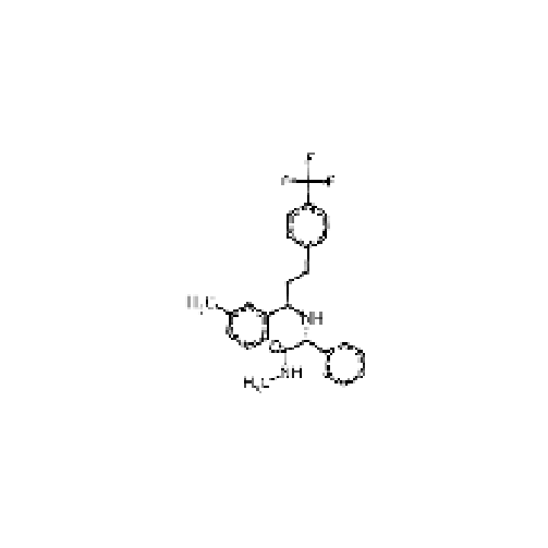 CNC(=O)[C@H](N[C@H](CCc1ccc(C(F)(F)F)cc1)c1cccc(C)c1)c1ccccc1